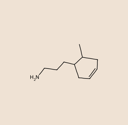 CC1CC=CCC1CCCN